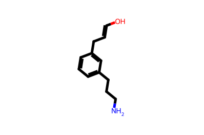 NCCCc1cccc(CC=CO)c1